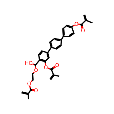 C=C(C)C(=O)OCCOC(O)c1ccc(-c2ccc(-c3ccc(OC(=O)C(=C)C)cc3)cc2)cc1OC(=O)C(=C)C